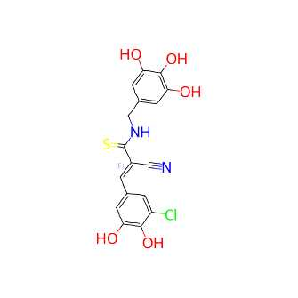 N#C/C(=C\c1cc(O)c(O)c(Cl)c1)C(=S)NCc1cc(O)c(O)c(O)c1